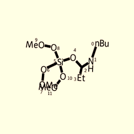 CCCCNC(CC)O[Si](OOC)(OOC)OOC